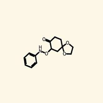 O=C1CCC2(CC1ONc1ccccc1)OCCO2